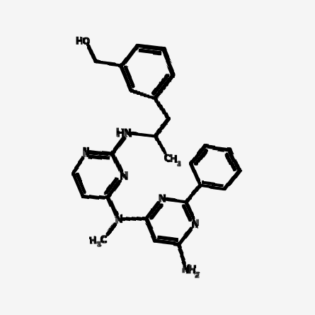 CC(Cc1cccc(CO)c1)Nc1nccc(N(C)c2cc(N)nc(-c3ccccc3)n2)n1